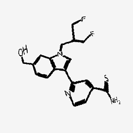 NC(=S)c1ccnc(-c2cn(CC(CF)CF)c3cc(CO)ccc23)c1